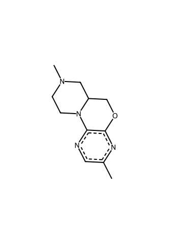 Cc1cnc2c(n1)OCC1CN(C)CCN21